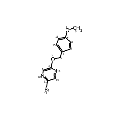 COc1ccc(COc2cnc(Br)cn2)cc1